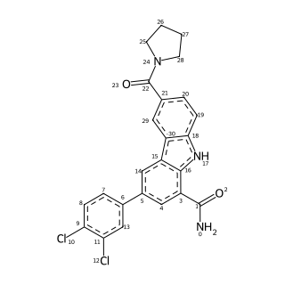 NC(=O)c1cc(-c2ccc(Cl)c(Cl)c2)cc2c1[nH]c1ccc(C(=O)N3CCCC3)cc12